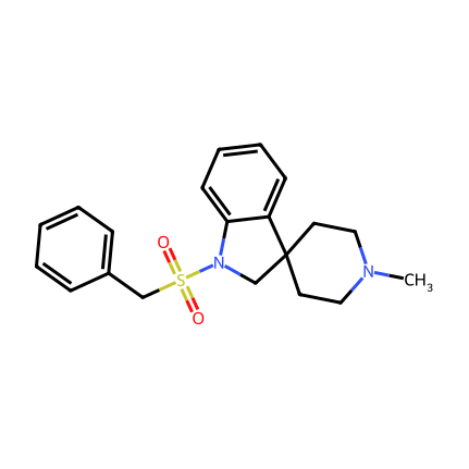 CN1CCC2(CC1)CN(S(=O)(=O)Cc1ccccc1)c1ccccc12